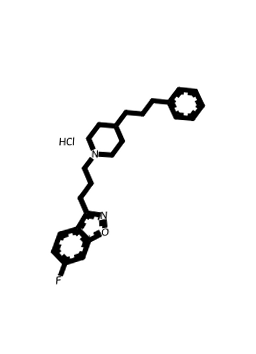 Cl.Fc1ccc2c(CCCN3CCC(CCCc4ccccc4)CC3)noc2c1